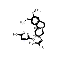 COc1cc2c(cc1OC)[C@H]1C[C@@H](OC(=O)/C=C\C(=O)O)[C@H](C=C(C)C)CN1CC2